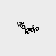 CCS(=O)(=O)c1ccc([C@H](CO)NC(=O)c2cnc(N3CCCC3)c(F)c2)cc1